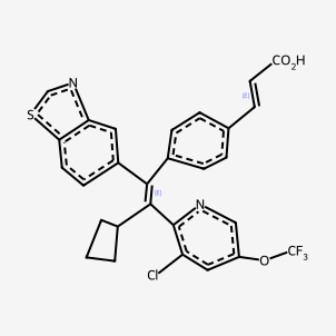 O=C(O)/C=C/c1ccc(/C(=C(\c2ncc(OC(F)(F)F)cc2Cl)C2CCC2)c2ccc3scnc3c2)cc1